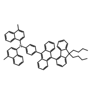 CCCCC1(CCCC)c2ccccc2-c2c(-c3c4ccccc4c(-c4ccc(N(c5ccc(C)c6ccccc56)c5ccc(C)c6ccccc56)cc4)c4ccccc34)cccc21